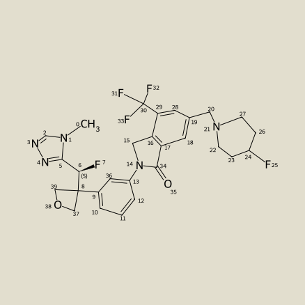 Cn1cnnc1[C@@H](F)C1(c2cccc(N3Cc4c(cc(CN5CCC(F)CC5)cc4C(F)(F)F)C3=O)c2)COC1